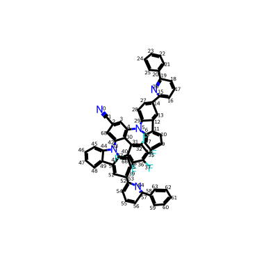 N#Cc1cc(-n2c3ccccc3c3cc(-c4cccc(-c5ccccc5)n4)ccc32)c(-c2c(F)c(F)c(F)c(F)c2F)c(-n2c3ccccc3c3cc(-c4cccc(-c5ccccc5)n4)ccc32)c1